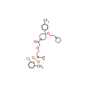 Cc1cccc(Cl)c1S(=O)(=O)N(CCOCC(=O)N1CCC(OCCN2CCCC2)(c2ccc(C(F)(F)F)cc2)CC1)C1CC1